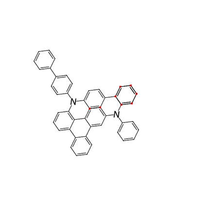 c1ccc(-c2ccc(N(c3ccc(-c4ccccc4)cc3)c3cccc4c5ccccc5c5cc(N(c6ccccc6)c6ccccc6)ccc5c34)cc2)cc1